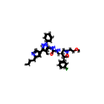 CCCCC1C=C(c2nn(-c3ccccc3)c(NC(=O)NC[C@@H]3CN(CCOC)O[C@H]3c3cccc(F)c3)c2C)C=N1